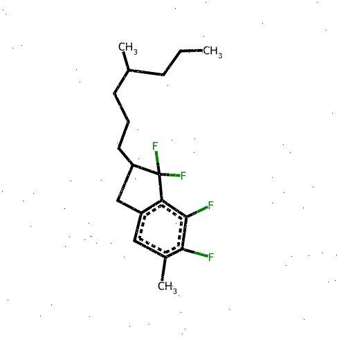 CCCC(C)CCCC1Cc2cc(C)c(F)c(F)c2C1(F)F